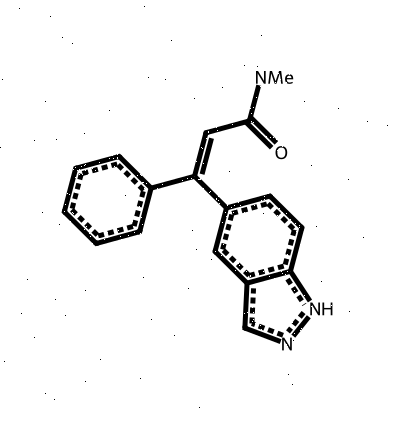 CNC(=O)/C=C(/c1ccccc1)c1ccc2[nH]ncc2c1